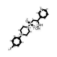 O=S(=O)(CC(NO)c1cccnc1)N1CCN(c2ccc(F)cc2)CC1